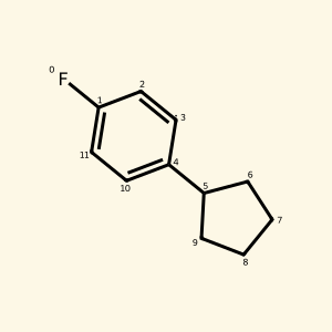 Fc1c[c]c(C2CCCC2)cc1